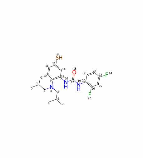 CC(C)CN(CC(C)C)c1ccc(S)cc1NC(=O)Nc1ccc(F)cc1F